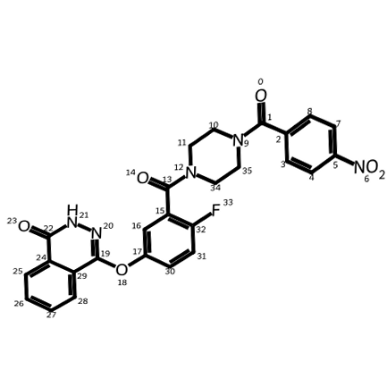 O=C(c1ccc([N+](=O)[O-])cc1)N1CCN(C(=O)c2cc(Oc3n[nH]c(=O)c4ccccc34)ccc2F)CC1